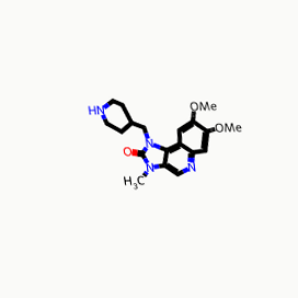 COc1cc2ncc3c(c2cc1OC)n(CC1CCNCC1)c(=O)n3C